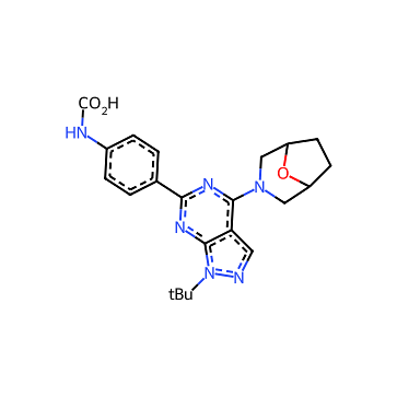 CC(C)(C)n1ncc2c(N3CC4CCC(C3)O4)nc(-c3ccc(NC(=O)O)cc3)nc21